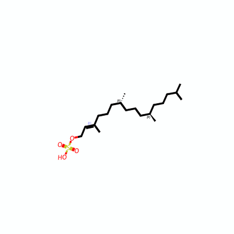 C/C(=C\COS(=O)(=O)O)CCC[C@H](C)CCC[C@H](C)CCCC(C)C